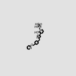 O=P(O)(O)OC[n+]1cccc(-c2cc(Cc3ccc(COc4ccccn4)cc3)no2)c1O